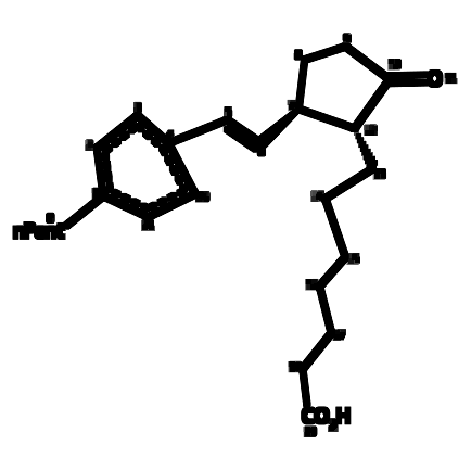 CCCCCc1ccc(C=C[C@H]2CCC(=O)[C@@H]2CCCCCCC(=O)O)cc1